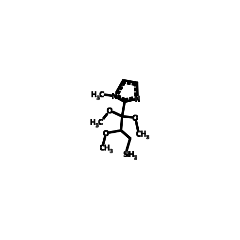 COC(C[SiH3])C(OC)(OC)c1nccn1C